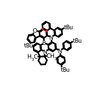 CC(C)(C)c1ccc(N(c2ccc(C(C)(C)C)cc2)c2cc3c4c(c2)N2c5c(cc(C(C)(C)C)cc5C5(C)CCCCC25C)B4c2c(ccc4oc5ccccc5c24)N3c2ccc(C(C)(C)C)cc2-c2ccccc2)cc1